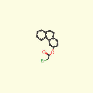 O=C(CBr)Oc1ccc2ccc3ccccc3c2c1